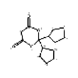 O=C1CC(=O)OC(C2CCCC2)(C2CCCC2)O1